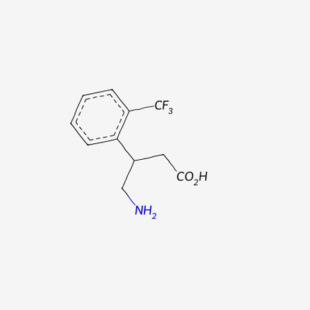 NCC(CC(=O)O)c1ccccc1C(F)(F)F